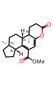 COC(=O)C1=C2[C@@H]3CCC[C@@]3(C)CC[C@@H]2[C@@]2(C)CCC(=O)OC2=C1